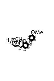 COc1ccc(Sc2ccc(C[C@H]3COC(C)(C)N3C(=O)O)cc2)cc1